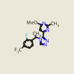 COc1cc(-c2nncn2C(C)c2ccc(C(F)(F)F)cc2F)nc(C)n1